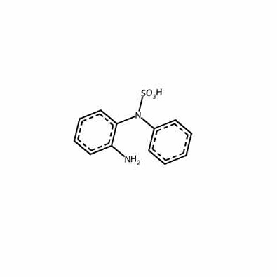 Nc1ccccc1N(c1ccccc1)S(=O)(=O)O